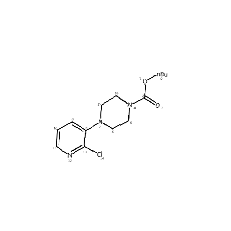 CCCCOC(=O)N1CCN(c2cccnc2Cl)CC1